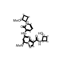 CNc1cc(Nc2cccn([C@@H]3CC[C@H]3OC)c2=O)nc2c(C(=O)N[C@H]3CC[C@H]3O)cnn12